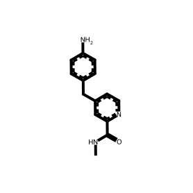 CNC(=O)c1cc(Cc2ccc(N)cc2)ccn1